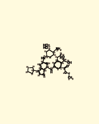 CCOC(=O)c1cc(Nc2nc(NC3CCC(N)CC3)nc3c2ncn3C2CCCC2)cc(CC)c1C(=O)O.Cl.Cl